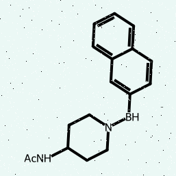 CC(=O)NC1CCN(Bc2ccc3ccccc3c2)CC1